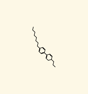 CCCCCCCCc1ccc(C2=CCC(CCC)C=C2)cc1